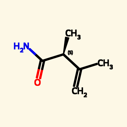 C=C(C)[C@H](C)C(N)=O